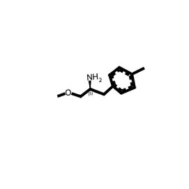 COC[C@@H](N)Cc1ccc(C)cc1